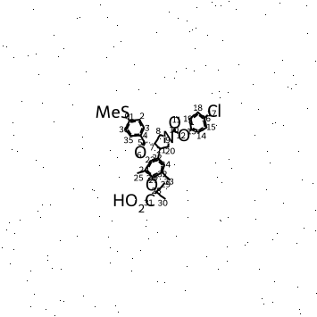 CSc1ccc(C(=O)[C@@H]2CN(C(=O)Oc3ccc(Cl)cc3)C[C@H]2c2cc(C)c(OC(C)(C)C(=O)O)c(C)c2)cc1